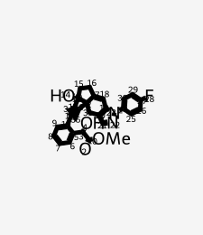 COC(=O)C(O)c1ccccc1C#C[C@]1(O)CCC2=Cc3c(cnn3-c3ccc(F)cc3)CC21C1CC1